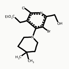 CCOC(=O)Cc1c(Cl)nc(CO)c(Br)c1N1CCC(C)(C)CC1